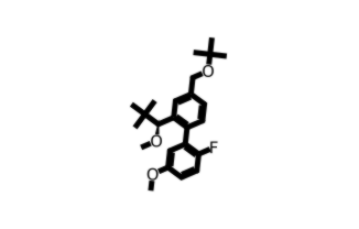 COc1ccc(F)c(-c2ccc(COC(C)(C)C)cc2[C@@H](OC)C(C)(C)C)c1